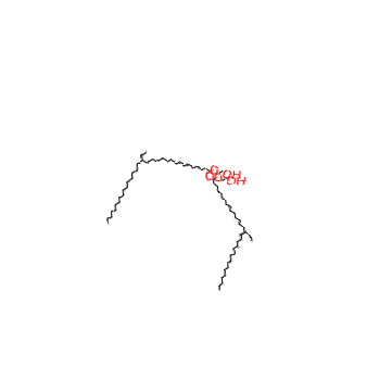 CCCCCCCCCCCCCCCCC(CC)CCCCCCCCCCCCCCC(OCCO)OC(CCCCCCCCCCCCCCC(CC)CCCCCCCCCCCCCCCC)OCCO